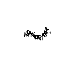 CC(=O)c1cc2cc(NCc3cc(NC(=O)c4cncc(C(F)(F)F)c4)ccc3F)cnc2[nH]1